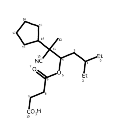 CCC(CC)CC(OC(=O)CCC(=O)O)C(C)(C#N)C1CCCC1